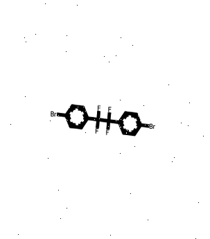 FC(F)(c1ccc(Br)cc1)C(F)(F)c1ccc(Br)cc1